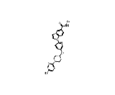 CCNC(=O)c1ccc2c(ccn2-c2ccc(OC3CCN(c4ncc(CC)cn4)CC3)cn2)c1